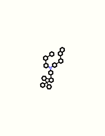 c1ccc(-c2cccc(-c3cccc(N(c4ccc(-c5cccc(-c6ccc7ccccc7c6)c5)cc4)c4ccc(-c5cccc6c5-c5ccccc5C6(c5ccccc5)c5ccccc5)cc4)c3)c2)cc1